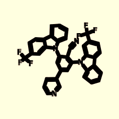 N#Cc1c(-n2c3ccccc3c3ccc(C(F)(F)F)cc32)cc(-c2cccnc2)cc1-n1c2ccccc2c2ccc(C(F)(F)F)cc21